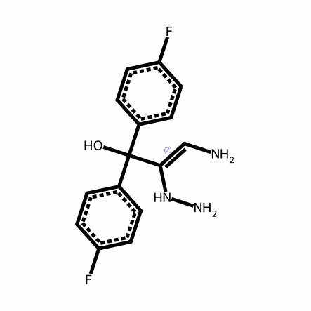 N/C=C(\NN)C(O)(c1ccc(F)cc1)c1ccc(F)cc1